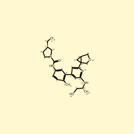 Cc1ccc(NC(=O)N2CC[C@@H](CC(F)(F)F)C2)cc1-c1cc(N[C@H](C)CO)nc(C23COCC2C3)c1